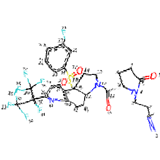 N#CCCN1C(=O)CC[C@H]1C(=O)N1CCC2(S(=O)(=O)c3cccc(F)c3)c3ccc(C(F)(C(F)(F)F)C(F)(F)F)nc3CCC12